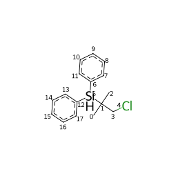 CC(C)(CCl)[SiH](c1ccccc1)c1ccccc1